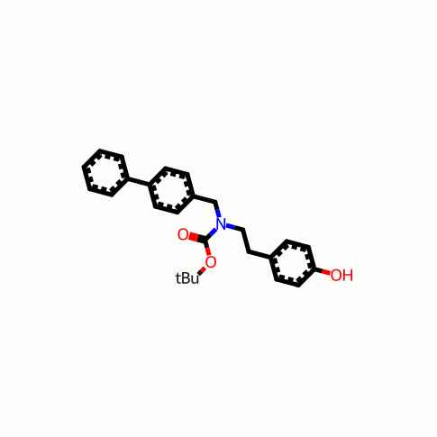 CC(C)(C)OC(=O)N(CCc1ccc(O)cc1)Cc1ccc(-c2ccccc2)cc1